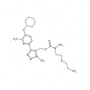 CCCOCCN(C)C(=O)OCc1c(-c2ccc(OC3CCCCC3)c(C)n2)nnn1C